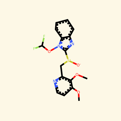 COc1ccnc(C[S+]([O-])c2nc3ccccc3n2OC(F)F)c1OC